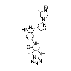 CCN1CCN(c2cc(-c3n[nH]c4ccc(NC(=O)C5=C(C)N(C)c6nnnn6[C@@H]5C)cc34)ccn2)C[C@@H]1C